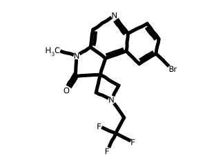 CN1C(=O)C2(CN(CC(F)(F)F)C2)c2c1cnc1ccc(Br)cc21